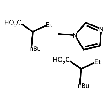 CCCCC(CC)C(=O)O.CCCCC(CC)C(=O)O.Cn1ccnc1